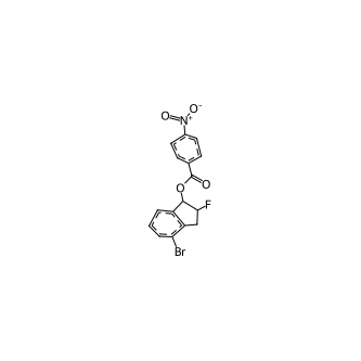 O=C(OC1c2cccc(Br)c2CC1F)c1ccc([N+](=O)[O-])cc1